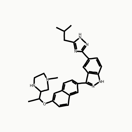 CC(C)Cc1nc(-c2ccc3[nH]nc(-c4ccc5cc(OC(C)C6CN(C)CCN6)ccc5c4)c3c2)n[nH]1